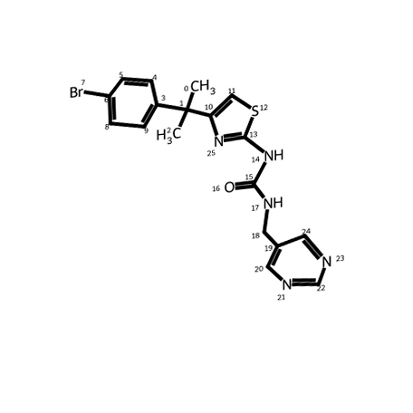 CC(C)(c1ccc(Br)cc1)c1csc(NC(=O)NCc2cncnc2)n1